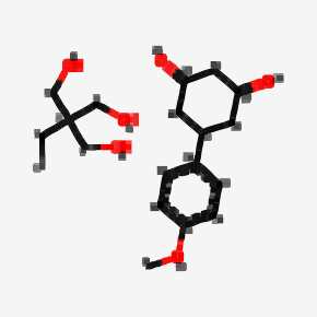 CCC(CO)(CO)CO.COc1ccc(C2CC(=O)CC(=O)C2)cc1